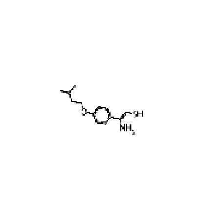 CC(C)CCOc1ccc(/C(N)=C/S)cc1